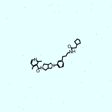 Cc1ccnc(C)c1C(=O)N1CC2CN(c3cccc(CCCNC(=O)CC4CCCC4)c3)CC2C1